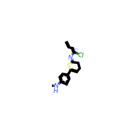 C=C/C=C(Cl)\N=C1/CCC=C(c2ccc(NC)cc2)S1